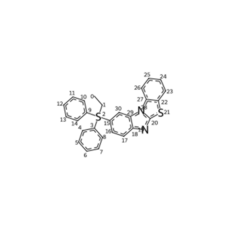 CCS(c1ccccc1)(c1ccccc1)c1ccc2nc3sc4ccccc4n3c2c1